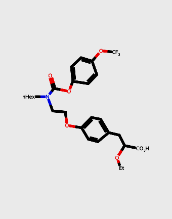 CCCCCCN(CCOc1ccc(CC(OCC)C(=O)O)cc1)C(=O)Oc1ccc(OC(F)(F)F)cc1